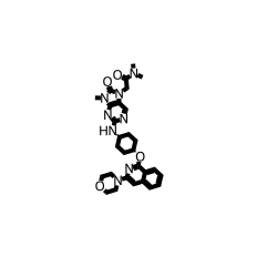 CN(C)C(=O)Cn1c(=O)n(C)c2nc(N[C@H]3CC[C@@H](Oc4nc(N5CCOCC5)cc5ccccc45)CC3)ncc21